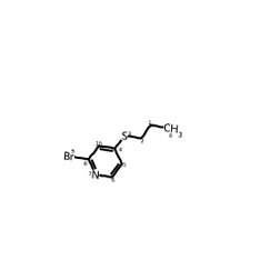 CCCSc1ccnc(Br)c1